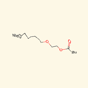 CCC(C)C(=O)OCCOCCCCOC